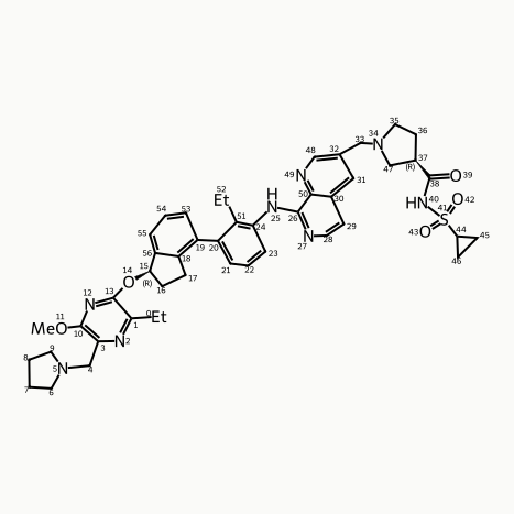 CCc1nc(CN2CCCC2)c(OC)nc1O[C@@H]1CCc2c(-c3cccc(Nc4nccc5cc(CN6CC[C@@H](C(=O)NS(=O)(=O)C7CC7)C6)cnc45)c3CC)cccc21